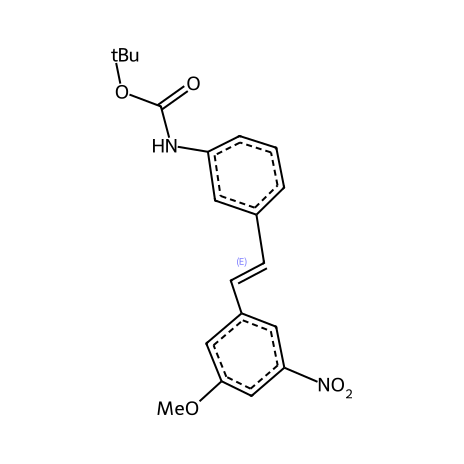 COc1cc(/C=C/c2cccc(NC(=O)OC(C)(C)C)c2)cc([N+](=O)[O-])c1